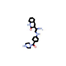 N/C(=C\Nc1ccc(C(=O)N2CCNCC2)cc1)c1cc2ccccc2[nH]c1=O